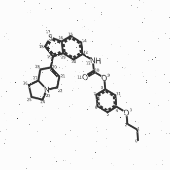 CCCOc1cccc(OC(=O)Nc2ccc3scc(C4=CCN5CCCC5C4)c3c2)c1